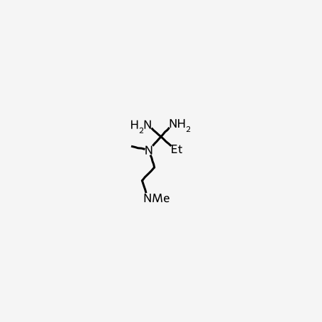 CCC(N)(N)N(C)CCNC